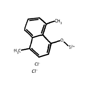 Cc1ccc([O][Ti+2])c2c(C)cccc12.[Cl-].[Cl-]